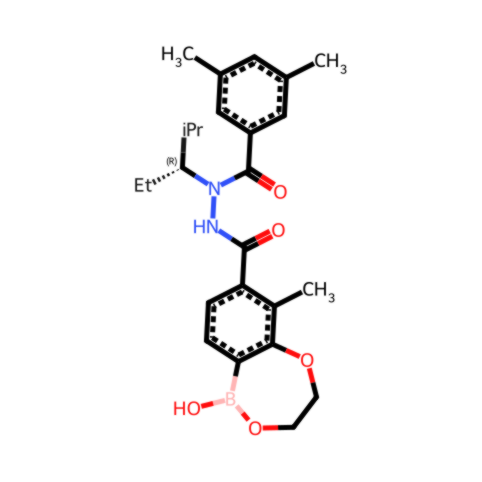 CC[C@H](C(C)C)N(NC(=O)c1ccc2c(c1C)OCCOB2O)C(=O)c1cc(C)cc(C)c1